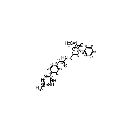 C=CS(=O)(=O)N(CCCNC(=O)Cc1ccc(C2=NN=C(C)NN2)cc1)c1ccccc1